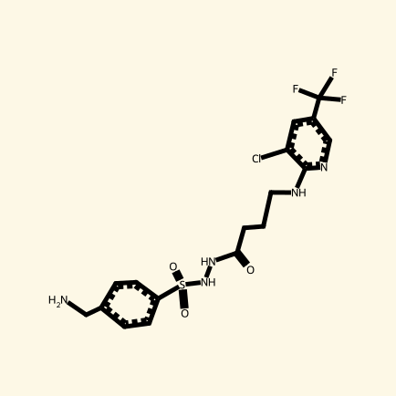 NCc1ccc(S(=O)(=O)NNC(=O)CCCNc2ncc(C(F)(F)F)cc2Cl)cc1